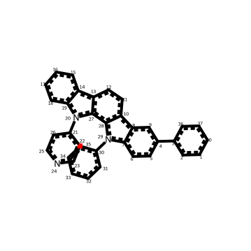 c1ccc(-c2ccc3c(c2)c2ccc4c5ccccc5n(-c5ccncc5)c4c2n3-c2ccccc2)cc1